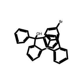 OC(c1ccccc1)(c1ccccc1)c1ccccc1-n1c2ccccc2c2cc(Br)ccc21